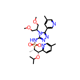 COCC(COC)n1c(NS(=O)(=O)[C@@H](C)[C@@H](OC(C)C)c2ccc(C)cn2)nnc1-c1cncc(C)c1